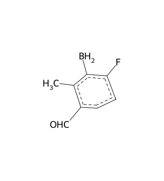 Bc1c(F)ccc(C=O)c1C